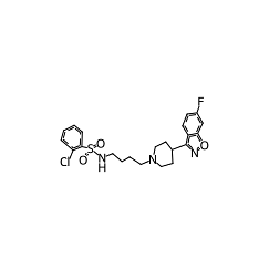 O=S(=O)(NCCCCN1CCC(c2noc3cc(F)ccc23)CC1)c1ccccc1Cl